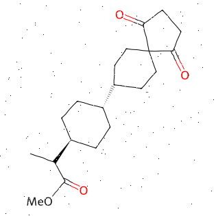 COC(=O)C(C)[C@H]1CC[C@H](C2CCC3(CC2)C(=O)CCC3=O)CC1